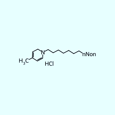 CCCCCCCCCCCCCCCCN1C=CC(C)=CC1.Cl